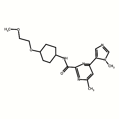 COCCOC1CCC(NC(=O)c2nc(C)cc(-c3cncn3C)n2)CC1